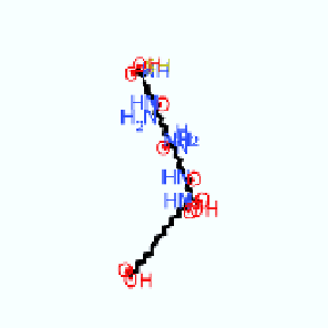 N[C@@H](CCCCNC(=O)CC[C@H](NC(=O)CCCCCCCCCCCCCCC(=O)O)C(=O)O)C(=O)NCCCC[C@H](N)C(=O)NCCCC[C@H](NS)C(=O)O